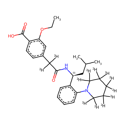 [2H]C([2H])(C(=O)N[C@@H](CC(C)C)c1ccccc1N1C([2H])([2H])C([2H])([2H])C([2H])([2H])C([2H])([2H])C1([2H])[2H])c1ccc(C(=O)O)c(OCC)c1